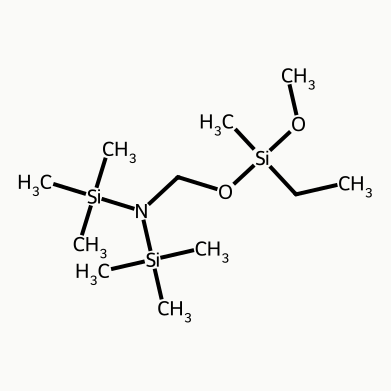 CC[Si](C)(OC)OCN([Si](C)(C)C)[Si](C)(C)C